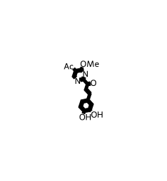 COc1nc(C(=O)C=Cc2ccc(O)c(O)c2)ncc1C(C)=O